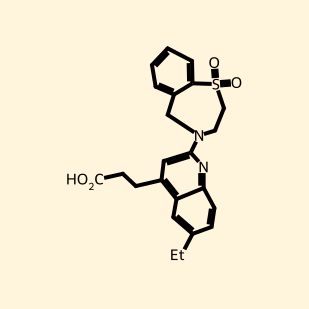 CCc1ccc2nc(N3CCS(=O)(=O)c4ccccc4C3)cc(CCC(=O)O)c2c1